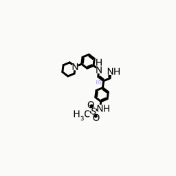 CS(=O)(=O)Nc1ccc(/C(C=N)=C/Nc2cccc(N3CCCCC3)c2)cc1